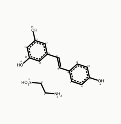 NCCS(=O)(=O)O.Oc1ccc(C=Cc2cc(O)cc(O)c2)cc1